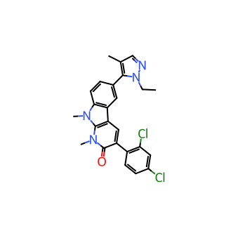 CCn1ncc(C)c1-c1ccc2c(c1)c1cc(-c3ccc(Cl)cc3Cl)c(=O)n(C)c1n2C